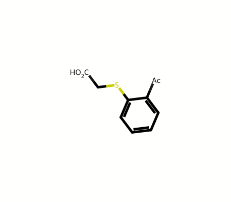 CC(=O)c1ccccc1SCC(=O)O